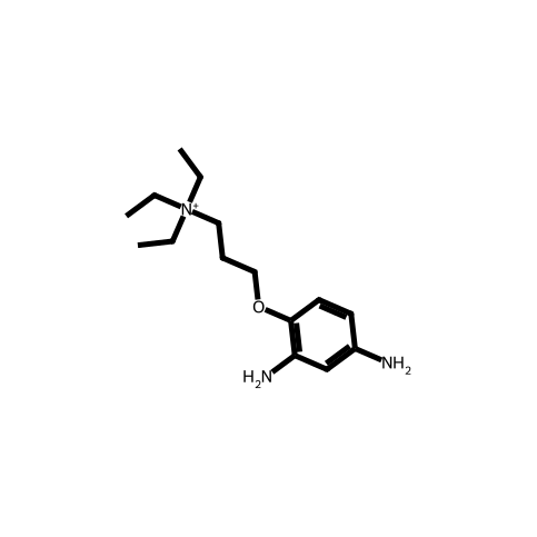 CC[N+](CC)(CC)CCCOc1ccc(N)cc1N